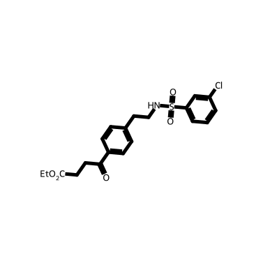 CCOC(=O)CCC(=O)c1ccc(CCNS(=O)(=O)c2cccc(Cl)c2)cc1